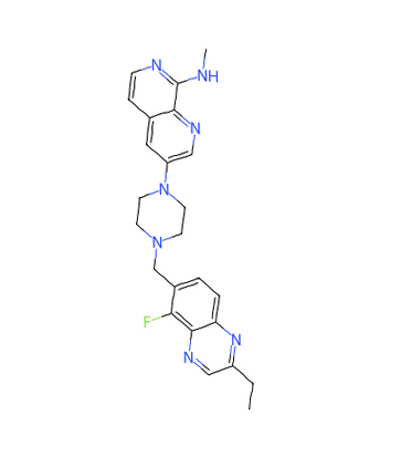 CCc1cnc2c(F)c(CN3CCN(c4cnc5c(NC)nccc5c4)CC3)ccc2n1